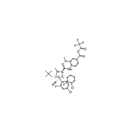 COc1cc(C(=O)OC(=O)C(F)(F)F)ccc1NC(=O)[C@H]1[C@H](c2cccc(Cl)c2F)[C@@](C#N)(c2ccc(Cl)cc2F)[C@H](CC(C)(C)C)N1C